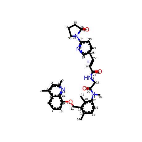 Cc1cc(C)c2cccc(OCc3c(C)ccc(N(C)C(=O)CNC(=O)/C=C/c4ccc(N5CCCC5=O)nc4)c3C)c2n1